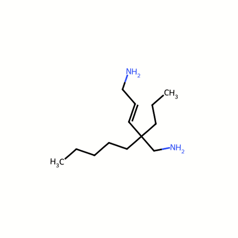 CCCCCC(C=CCN)(CN)CCC